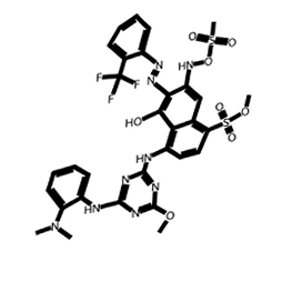 COc1nc(Nc2ccccc2N(C)C)nc(Nc2ccc(S(=O)(=O)OC)c3cc(NOS(C)(=O)=O)c(N=Nc4ccccc4C(F)(F)F)c(O)c23)n1